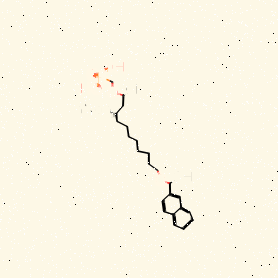 [CH2]C(OCCCCCCCC[C@@H](CCCCCCCCC)CC(C)OCP(=O)(O)O)c1ccc2ccccc2c1